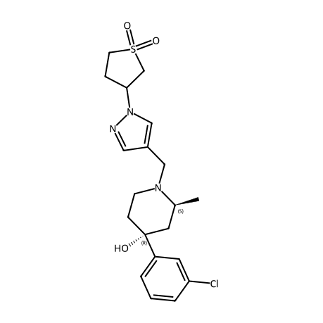 C[C@H]1C[C@@](O)(c2cccc(Cl)c2)CCN1Cc1cnn(C2CCS(=O)(=O)C2)c1